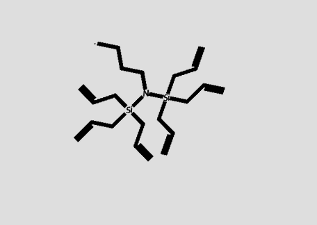 [CH2]CCCN([Si](CC=C)(CC=C)CC=C)[Si](CC=C)(CC=C)CC=C